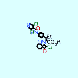 CCC(c1ccc(NC(=O)c2c(Cl)cncc2Cl)cc1)[C@H](NC1=C(Cl)C(=O)C12CCCCC2)C(=O)O